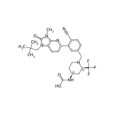 Cn1c(=O)n(CC(C)(C)C)c2ccc(-c3cc(CN4CC[C@H](NC(=O)O)C[C@@H]4C(F)(F)F)ccc3C#N)nc21